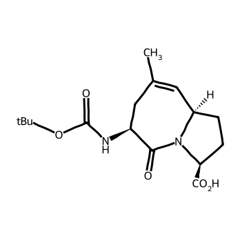 CC1=C[C@H]2CC[C@@H](C(=O)O)N2C(=O)[C@@H](NC(=O)OC(C)(C)C)C1